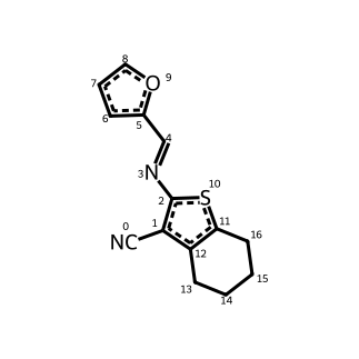 N#Cc1c(N=Cc2ccco2)sc2c1CCCC2